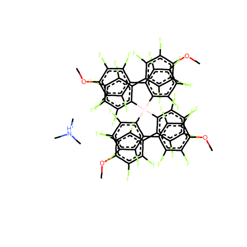 COc1c(F)c(F)c(-c2c(F)c(F)c(F)c(F)c2[B-](c2c(F)c(F)c(F)c(F)c2-c2c(F)c(F)c(OC)c(F)c2F)(c2c(F)c(F)c(F)c(F)c2-c2c(F)c(F)c(OC)c(F)c2F)c2c(F)c(F)c(F)c(F)c2-c2c(F)c(F)c(OC)c(F)c2F)c(F)c1F.C[NH+](C)C